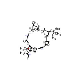 C=C1C[C@@H]2C[C@@H]3C[C@@H](O[Si](C)(C)C(C)(C)C)C[C@@H](O3)c3coc(n3)/C=C/C[C@H]3O[C@@H](/C(C)=C/I)[C@H](C)[C@@H](OC(=O)/C=C\C[C@@H](C1)O2)[C@H]3C